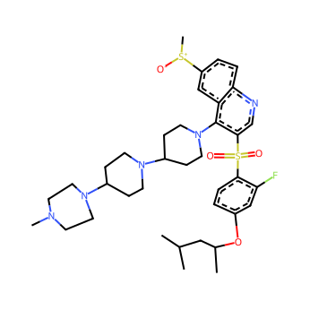 CC(C)CC(C)Oc1ccc(S(=O)(=O)c2cnc3ccc([S+](C)[O-])cc3c2N2CCC(N3CCC(N4CCN(C)CC4)CC3)CC2)c(F)c1